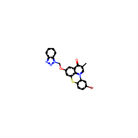 Cc1cn2c3c(cc(OCn4nnc5ccccc54)cc3c1=O)Sc1ccc(Br)cc1-2